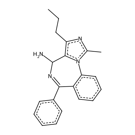 CCCc1nc(C)n2c1C(N)N=C(c1ccccc1)c1ccccc1-2